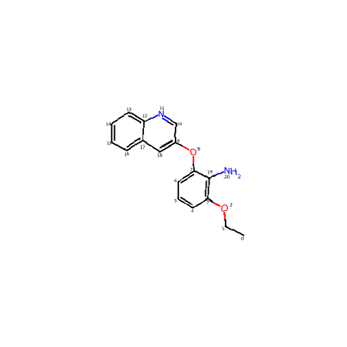 CCOc1cccc(Oc2cnc3ccccc3c2)c1N